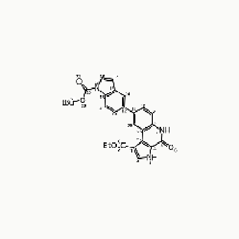 CCOC(=O)c1c[nH]c2c(=O)[nH]c3ccc(-c4ccc5c(ccn5C(=O)OC(C)(C)C)c4)cc3c12